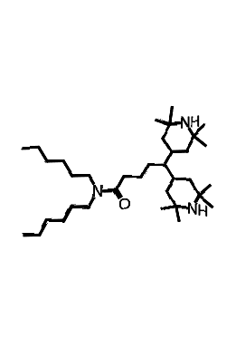 CCCCCCN(CCCCCC)C(=O)CCCC(C1CC(C)(C)NC(C)(C)C1)C1CC(C)(C)NC(C)(C)C1